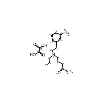 CCCN(CCCC(N)=O)CCc1cccc(OC)c1.O=C(O)C(=O)O